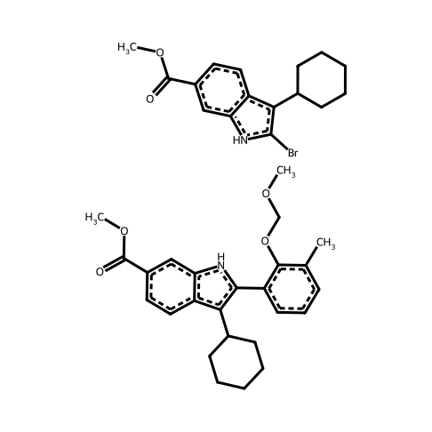 COC(=O)c1ccc2c(C3CCCCC3)c(Br)[nH]c2c1.COCOc1c(C)cccc1-c1[nH]c2cc(C(=O)OC)ccc2c1C1CCCCC1